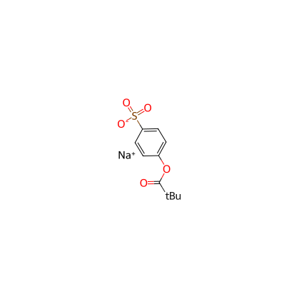 CC(C)(C)C(=O)Oc1ccc(S(=O)(=O)[O-])cc1.[Na+]